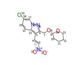 O=[N+]([O-])/C=C/c1c(COC2CCCCO2)nn2cc(Cl)ccc12